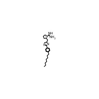 CCCCCCCCc1ccc(C2=NCC(CC3CCCN3C(=N)N)=N2)cc1